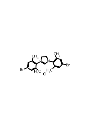 Cc1cc(Br)cc(C)c1N1C=[N+](c2c(C)cc(Br)cc2C)CC1.[Cl-]